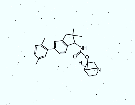 Cc1ccc(C)c(-c2ccc3c(c2)CC(C)(C)C3NC(=O)O[C@H]2CN3CCC2CC3)c1